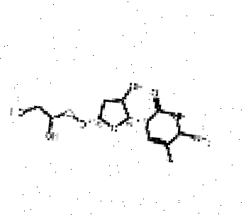 CC1=CN([C@@H]2O[C@H](OOP(O)CO)CC2O)C(=O)NC1N